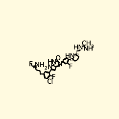 CC(=N)NCC[C@@H]1CCC[C@@H](c2ccc(-n3cc4cc(-c5cc(CCC[C@@H](N)CF)cc(Cl)c5F)[nH]c4nc3=O)cc2F)N1